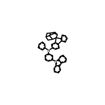 c1ccc(N(c2cccc(-n3c4ccccc4c4ccccc43)c2)c2ccc3c(c2)C2(c4ccccc4-3)C3CC4CC(C3)CC2C4)cc1